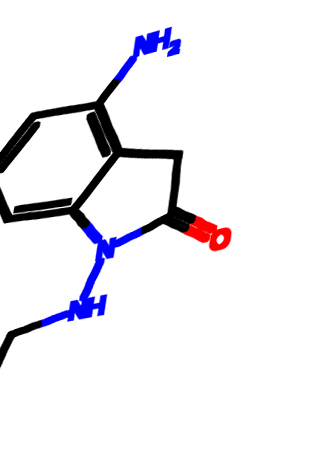 CCNN1C(=O)Cc2c(N)cccc21